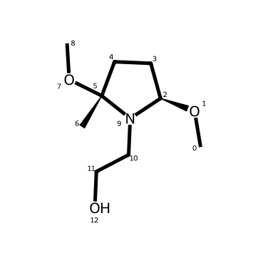 CO[C@@H]1CC[C@@](C)(OC)N1CCO